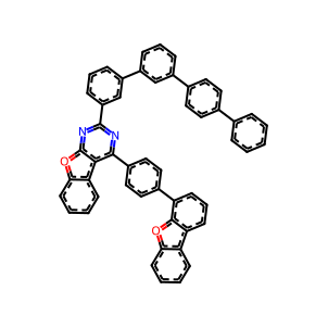 c1ccc(-c2ccc(-c3cccc(-c4cccc(-c5nc(-c6ccc(-c7cccc8c7oc7ccccc78)cc6)c6c(n5)oc5ccccc56)c4)c3)cc2)cc1